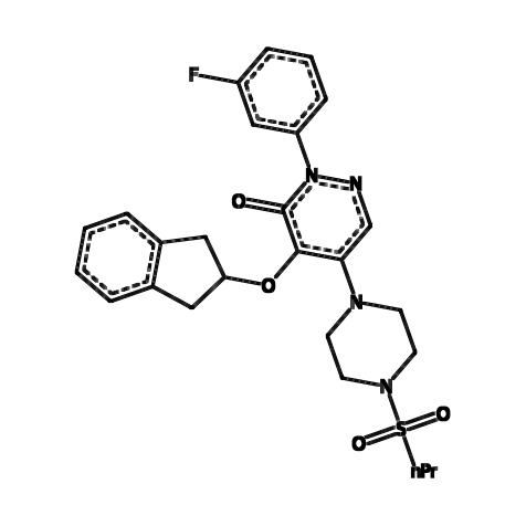 CCCS(=O)(=O)N1CCN(c2cnn(-c3cccc(F)c3)c(=O)c2OC2Cc3ccccc3C2)CC1